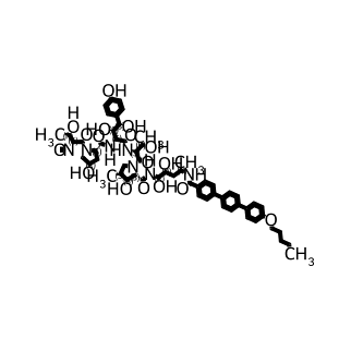 CCCCCOc1ccc(-c2ccc(-c3ccc(C(=O)N[C@H](C)C[C@@H](O)[C@@H](O)NC(=O)[C@@H]4[C@@H](O)[C@@H](C)CN4C(=O)[C@@H](NC(=O)[C@@H](NC(=O)[C@@H]4C[C@@H](O)CN4C(=O)[C@@H](N=O)[C@@H](C)O)[C@H](O)[C@@H](O)c4ccc(O)cc4)[C@@H](C)O)cc3)cc2)cc1